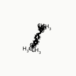 CCC1(CC)CC(CCN2CCN(c3ccc(OC(=O)C(C)C)cc3)CC2)OC1=O